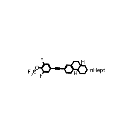 CCCCCCC[C@@H]1CC[C@@H]2c3ccc(C#Cc4cc(F)c(OC(F)(F)F)c(F)c4)cc3CC[C@@H]2C1